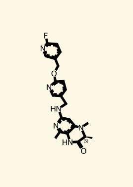 Cc1nc(NCc2ccc(OCc3ccc(F)nc3)nc2)cc2c1NC(=O)[C@H](C)N2C